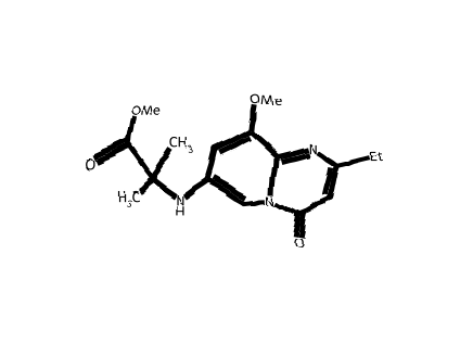 CCc1cc(=O)n2cc(NC(C)(C)C(=O)OC)cc(OC)c2n1